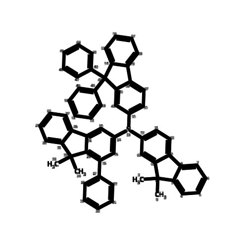 CC1(C)c2ccccc2-c2ccc(N(c3cc(-c4ccccc4)c4c(c3)-c3ccccc3C4(C)C)c3ccc4c(c3)C(c3ccccc3)(c3ccccc3)c3ccccc3-4)cc21